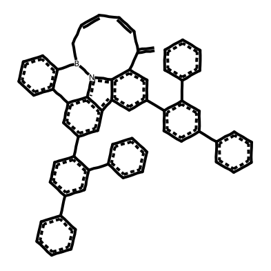 C=C1/C=C\C=C/CB2c3ccccc3-c3cc(-c4ccc(-c5ccccc5)cc4-c4ccccc4)cc4c5cc(-c6ccc(-c7ccccc7)cc6-c6ccccc6)cc1c5n2c34